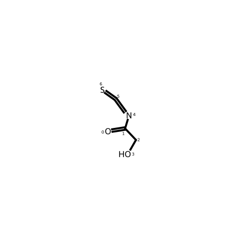 O=C(CO)N=C=S